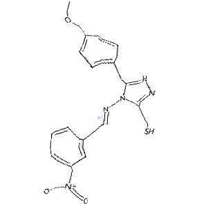 COc1ccc(-c2nnc(S)n2/N=C/c2cccc([N+](=O)[O-])c2)cc1